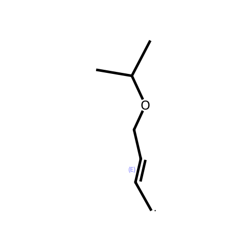 [CH2]/C=C/COC(C)C